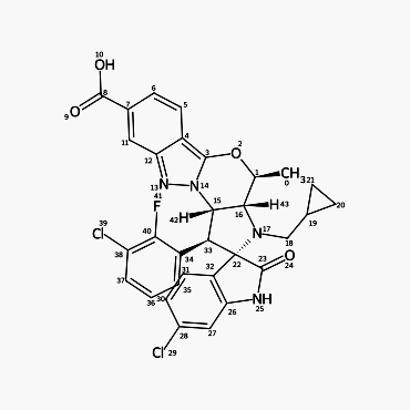 C[C@@H]1Oc2c3ccc(C(=O)O)cc3nn2[C@@H]2[C@H]1N(CC1CC1)[C@@]1(C(=O)Nc3cc(Cl)ccc31)[C@H]2c1cccc(Cl)c1F